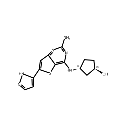 Nc1nc(N[C@@H]2CC[C@@H](O)C2)c2sc(-c3ccn[nH]3)cc2n1